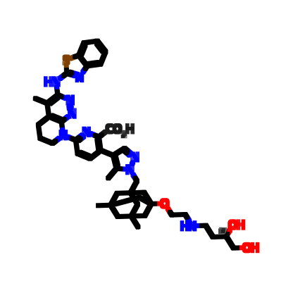 Cc1c(Nc2nc3ccccc3s2)nnc2c1CCCN2c1ccc(-c2cnn(CC34CC5(C)CC(C)(C3)CC(OCCNCC[C@@H](O)CO)(C5)C4)c2C)c(C(=O)O)n1